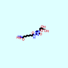 O=C(CCCCCCC(=O)Nc1ncn([C@H]2C[C@H](O)[C@@H](CO)O2)c(=O)n1)NO